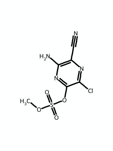 COS(=O)(=O)Oc1nc(N)c(C#N)nc1Cl